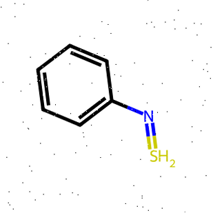 [SH2]=Nc1ccccc1